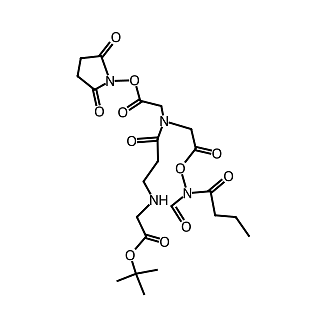 CCCC(=O)N(C=O)OC(=O)CN(CC(=O)ON1C(=O)CCC1=O)C(=O)CCNCC(=O)OC(C)(C)C